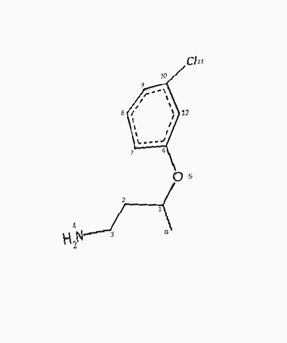 CC(CCN)Oc1cccc(Cl)c1